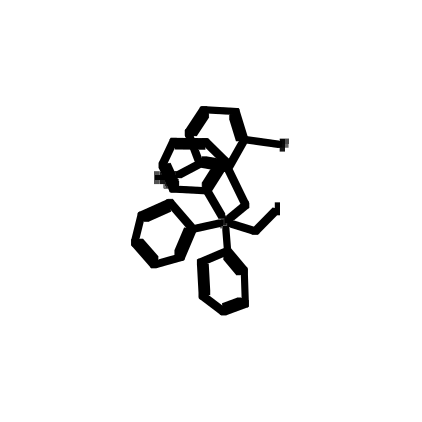 Cc1cccc(F)c1CP(CI)(c1ccccc1)(c1ccccc1)c1ccccc1